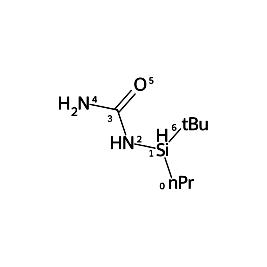 CCC[SiH](NC(N)=O)C(C)(C)C